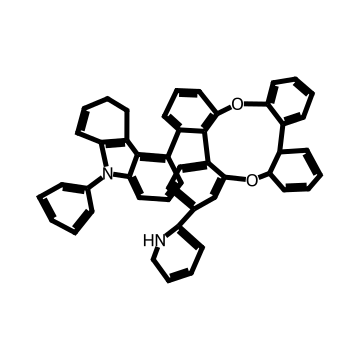 C1=CCNC(c2ccc3c(c2)OC2C=CC=CC2c2ccccc2Oc2cccc(-c4cccc5c4c4c(n5-c5ccccc5)C=CCC4)c2-3)=C1